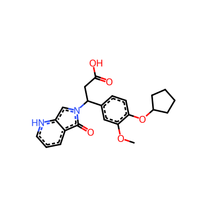 COc1cc(C(CC(=O)O)n2cc3[nH]cccc-3c2=O)ccc1OC1CCCC1